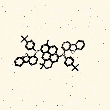 Cc1cc(N(c2ccc(C(C)(C)C)cc2)c2cccc3c2oc2ccccc23)c2cc3c4c(cc(N(C5=CCCC6=C5OC5C=CC=CC65)c5ccc(C(C)(C)C)cc5)c5ccc1c2c54)CCC3(C)C